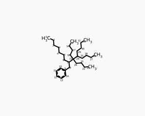 CCCCCCCC(Cc1ccccc1)C(CCCC)(CCCC)[C](CCCC)CCCC